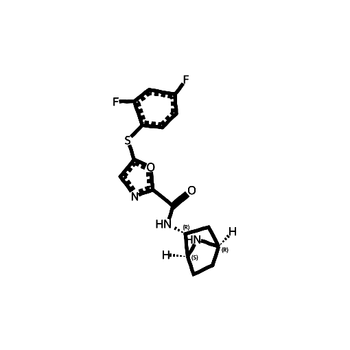 O=C(N[C@@H]1C[C@H]2CC[C@@H]1N2)c1ncc(Sc2ccc(F)cc2F)o1